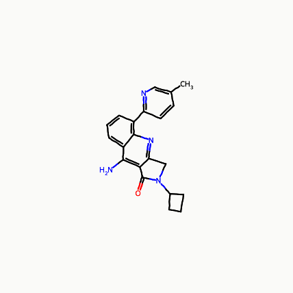 Cc1ccc(-c2cccc3c(N)c4c(nc23)CN(C2CCC2)C4=O)nc1